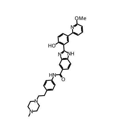 COc1cccc(-c2ccc(O)c(-c3nc4cc(C(=O)Nc5ccc(CCN6CCN(C)CC6)cc5)ccc4[nH]3)c2)n1